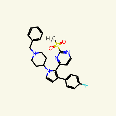 CS(=O)(=O)c1nccc(-c2c(-c3ccc(F)cc3)ccn2C2CCN(Cc3ccccc3)CC2)n1